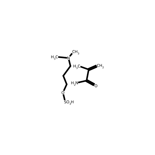 C=C(C)C(N)=O.CN(C)CCCOS(=O)(=O)O